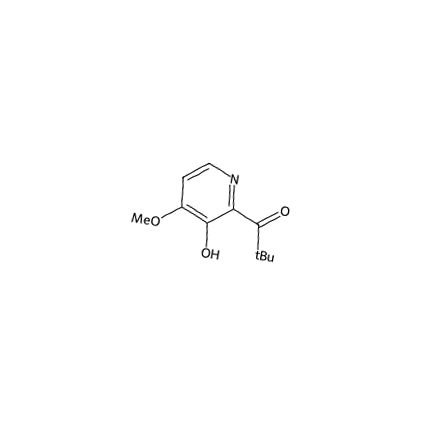 COc1ccnc(C(=O)C(C)(C)C)c1O